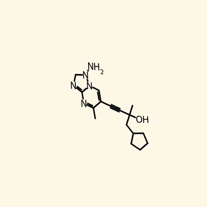 CC1=NC2=NCN(N)N2C=C1C#CC(C)(O)CC1CCCC1